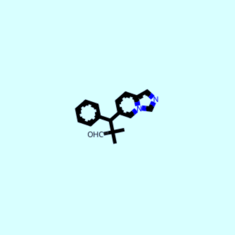 CC(C)(C=O)C(c1ccccc1)c1ccc2cncn2c1